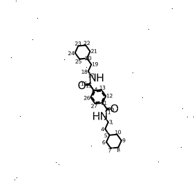 O=C(NCCC1CCCCC1)c1ccc(C(=O)NCCC2CCCCC2)cc1